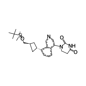 CC(C)(C)[Si](C)(C)OC[C@H]1C[C@H](c2cccc3c(N4CCC(=O)NC4=O)cncc32)C1